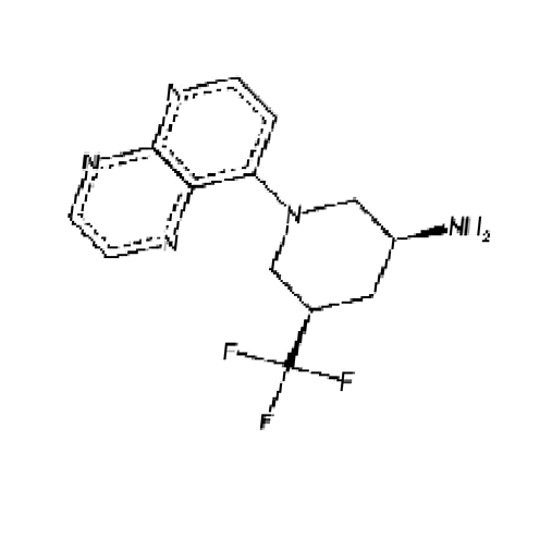 N[C@H]1C[C@@H](C(F)(F)F)CN(c2ccnc3nccnc23)C1